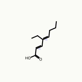 CCC/C=C(/C=C/C(=O)O)CC